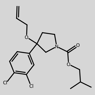 C=CCOC1(c2ccc(Cl)c(Cl)c2)CCN(C(=O)OCC(C)C)C1